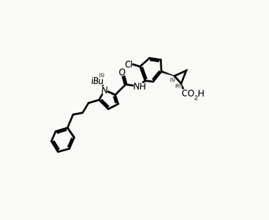 CC[C@H](C)n1c(CCCc2ccccc2)ccc1C(=O)Nc1cc([C@H]2C[C@H]2C(=O)O)ccc1Cl